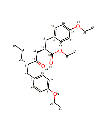 CCC[C@@H](Cc1ccc(OCC)cc1)C(=O)C[C@@H](Cc1ccc(OCC)cc1)C(=O)OCC